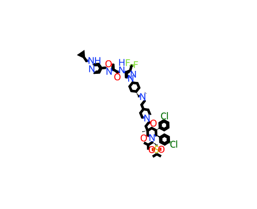 CC(C)[C@@H](CS(=O)(=O)C(C)C)N1C(=O)[C@@](C)(CC(=O)N2CCC(CCN(C)C[C@H]3CC[C@H](n4cc(NC(=O)c5coc(-c6ccnc(NCC7CC7)c6)n5)c(C(F)F)n4)CC3)CC2)C[C@H](c2cccc(Cl)c2)[C@H]1c1ccc(Cl)cc1